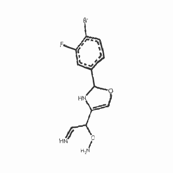 N=CC(ON)C1=COC(c2ccc(Br)c(F)c2)N1